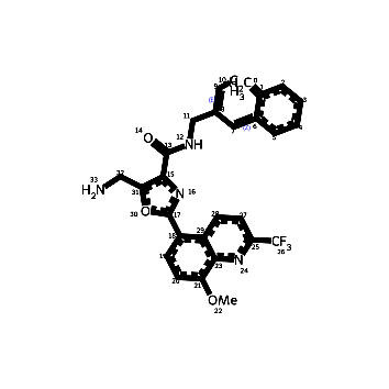 C=c1cccc/c1=C/C(=C\C)CNC(=O)c1nc(-c2ccc(OC)c3nc(C(F)(F)F)ccc23)oc1CN